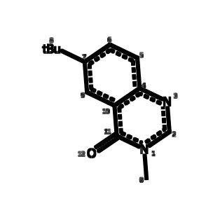 Cn1cnc2ccc(C(C)(C)C)cc2c1=O